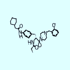 CCC(=O)N[C@H](Cc1ccc(NC(=O)CC2CCCCC2)cc1)C(=O)N1CCN(Cc2ccccc2OC)CC1